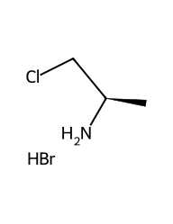 Br.C[C@@H](N)CCl